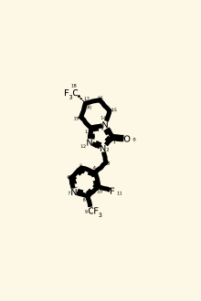 O=c1n(Cc2ccnc(C(F)(F)F)c2F)nc2n1CC[C@@H](C(F)(F)F)C2